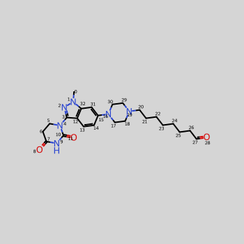 Cn1nc(N2CCC(=O)NC2=O)c2ccc(N3CCN(CCCCCCCC=O)CC3)cc21